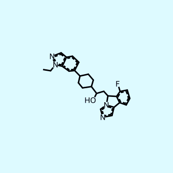 CCn1ncc2ccc(C3CCC(C(O)CC4c5c(F)cccc5-c5cncn54)CC3)cc21